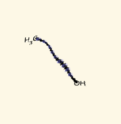 C/C=C/CC/C=C/CC/C=C/CC/C=C/CC/C=C/CC/C=C/CC/C=C/CC/C=C/CC/C=C/CCCCCO